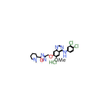 COc1cc2c(Nc3ccc(Cl)c(Cl)c3)ncnc2cc1OCc1noc(C2CCCCN2C)n1.Cl